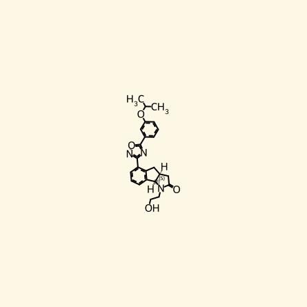 CC(C)Oc1cccc(-c2nc(-c3cccc4c3C[C@H]3CC(=O)N(CCO)[C@@H]43)no2)c1